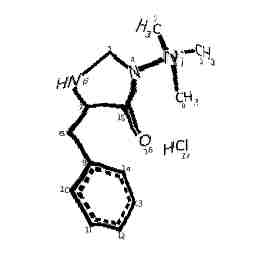 C[N+](C)(C)N1CNC(Cc2ccccc2)C1=O.Cl